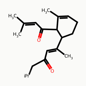 CC(C)=CC(=O)C1C(C)=CCCC1/C(C)=C/C(=O)CC(C)C